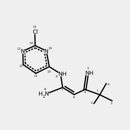 CC(C)(C)C(=N)/C=C(/N)Nc1ccnc(Cl)n1